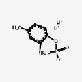 Cc1ccc(OP(=O)([O-])[O-])c(C(C)(C)C)c1.[Li+].[Li+]